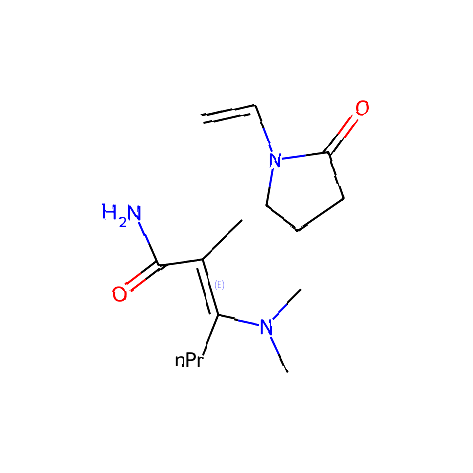 C=CN1CCCC1=O.CCC/C(=C(/C)C(N)=O)N(C)C